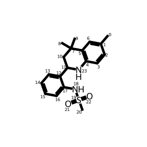 Cc1ccc2c(c1)C(C)(C)CC(c1ccccc1NS(C)(=O)=O)N2